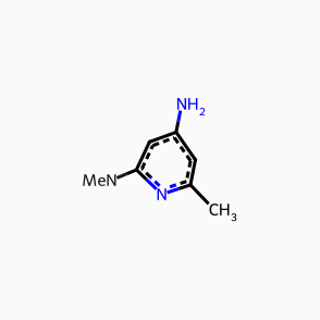 CNc1cc(N)cc(C)n1